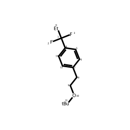 CCC(F)(F)c1ccc(CCOC(C)(C)C)cc1